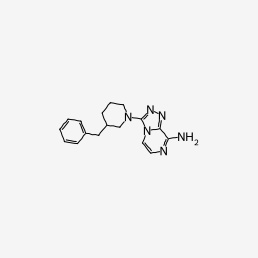 Nc1nccn2c(N3CCCC(Cc4ccccc4)C3)nnc12